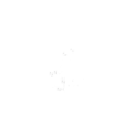 CC1CC[C@@H](Nc2c(C(N)=O)cnn3cc(-c4ccc(N5CCCC5)nc4)cc23)C1(C)C